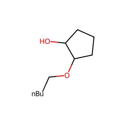 CCCCCOC1CCCC1O